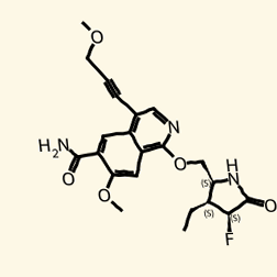 CC[C@@H]1[C@H](F)C(=O)N[C@@H]1COc1ncc(C#CCOC)c2cc(C(N)=O)c(OC)cc12